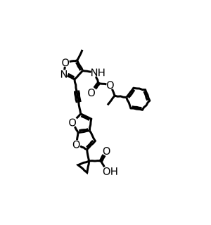 Cc1onc(C#Cc2cc3cc(C4(C(=O)O)CC4)oc3o2)c1NC(=O)OC(C)c1ccccc1